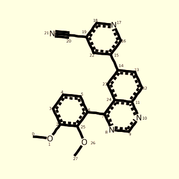 COc1cccc(-c2ncnc3ccc(-c4cncc(C#N)c4)cc23)c1OC